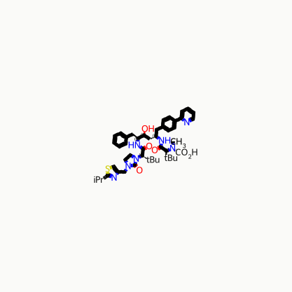 CC(C)c1nc(CN2CCN([C@H](C(=O)N[C@@H](Cc3ccccc3)[C@@H](O)C[C@H](Cc3ccc(-c4ccccn4)cc3)NC(=O)[C@@H](N(C)C(=O)O)C(C)(C)C)C(C)(C)C)C2=O)cs1